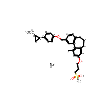 CCS(=O)(=O)CCCOc1cc(C)c2c(c1)CCCc1ccc(COc3ccc([C@H]4C[C@@H]4C(=O)[O-])cc3)cc1-2.[Na+]